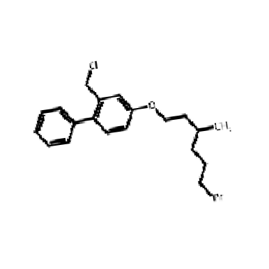 CC(C)CCCC(C)CCOc1ccc(-c2ccccc2)c(CCl)c1